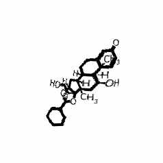 C[C@]12C=CC(=O)C=C1CC[C@@H]1[C@@H]2[C@@H](O)C[C@@]2(C)[C@@H]1C[C@H]1OC(C3CCCCC3)O[C@]12C(=O)CO